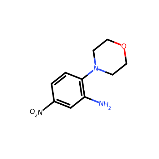 Nc1cc([N+](=O)[O-])ccc1N1CCOCC1